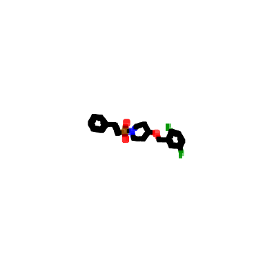 O=S(=O)(C=Cc1ccccc1)N1CCC(OCc2cc(F)ccc2F)CC1